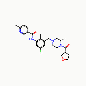 Cc1ccc(C(=O)Nc2cc(Cl)cc(CN3CCN(C(=O)[C@H]4CCOC4)[C@@H](C)C3)c2C)cn1